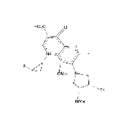 CC[C@H]1CN(c2c(F)cc3c(=O)c(C(=O)O)cn([C@@H]4C[C@@H]4F)c3c2OC)C[C@H]1NC